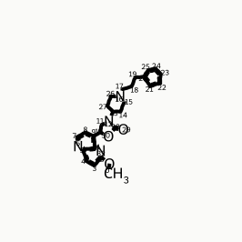 COc1ccc2nccc(C3CN(C4CCN(CCCc5ccccc5)CC4)C(=O)O3)c2n1